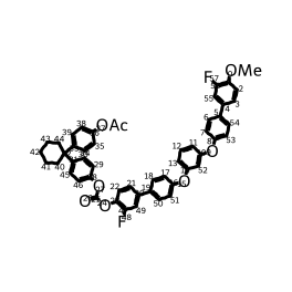 COc1ccc(-c2ccc(Oc3cccc(Oc4ccc(-c5ccc(OC(=O)Oc6ccc(C7(c8ccc(OC(C)=O)cc8)CCCCC7)cc6)c(F)c5)cc4)c3)cc2)cc1F